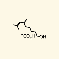 CC(=O)O.CC(C)=CC(C)CCCCCO